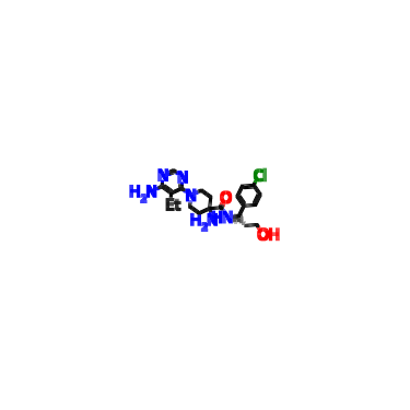 CCc1c(N)ncnc1N1CCC(N)(C(=O)N[C@@H](CCO)c2ccc(Cl)cc2)CC1